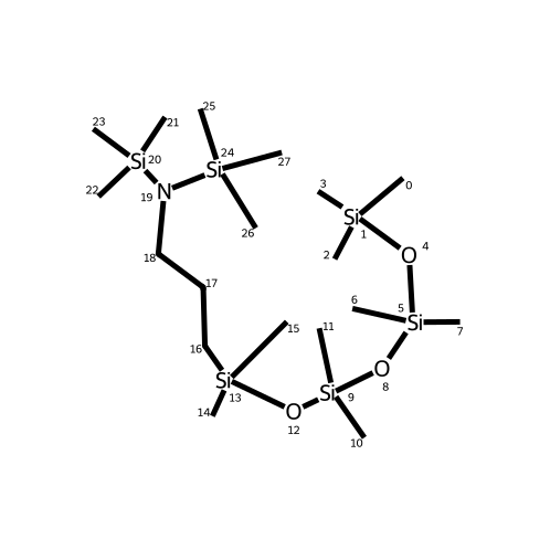 C[Si](C)(C)O[Si](C)(C)O[Si](C)(C)O[Si](C)(C)CCCN([Si](C)(C)C)[Si](C)(C)C